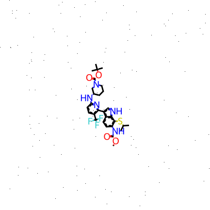 COC(=O)Nc1ccc2c(-c3nc(N[C@H]4CCCN(C(=O)OC(C)(C)C)C4)ccc3C(F)(F)F)c[nH]c2c1SC(C)C